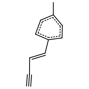 C#CC=Cc1ccc(C)cc1